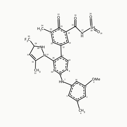 COc1cc(C)cc(Nc2ncc(-c3cc(C(=O)N[SH](=O)=O)c(=O)n(C)c3)c(N3NC(C(F)(F)F)C=C3C)n2)c1